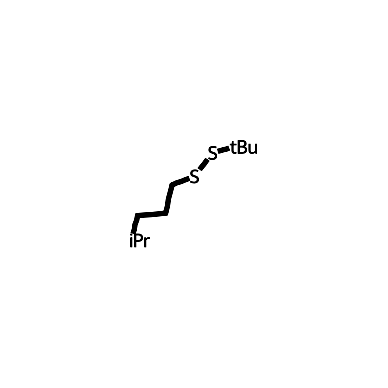 CC(C)CCCSSC(C)(C)C